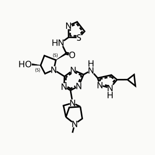 CN1CC2CC1CN2c1nc(Nc2cc(C3CC3)[nH]n2)nc(N2C[C@@H](O)C[C@H]2C(=O)Nc2nccs2)n1